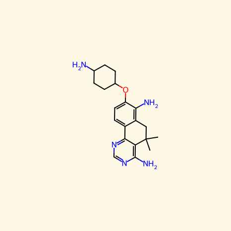 CC1(C)Cc2c(ccc(OC3CCC(N)CC3)c2N)-c2ncnc(N)c21